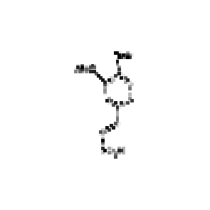 COc1ccc(C=CS(=O)(=O)O)cc1OC